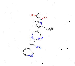 C[C@@H](O)[C@H]1C(=O)N2C(C(=O)O)=C(C3CN=C(C(N)Cc4cccnc4)NC3)C[C@H]12